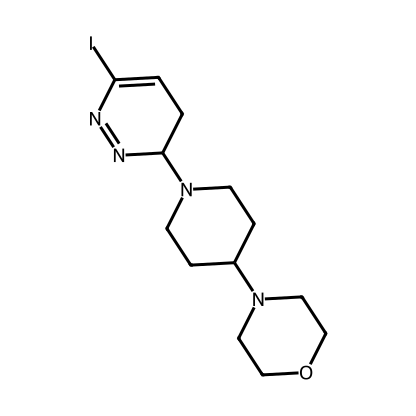 IC1=CCC(N2CCC(N3CCOCC3)CC2)N=N1